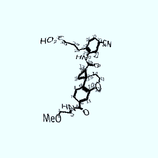 COCCNC(=O)c1ccc2c(c1)OCC[C@]21C[C@H]1C(=O)Nc1cc(C#N)ccc1CCCC(=O)O